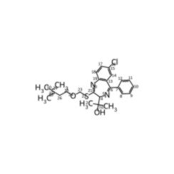 CC(C)(O)C1N=C(c2ccccc2)c2cc(Cl)ccc2N=C1SCOCCS(C)(C)C